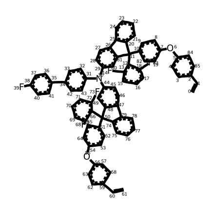 C=Cc1ccc(Oc2ccc(C3(c4c(F)cccc4F)c4ccccc4-c4ccc(N(c5ccc(-c6ccc(F)cc6)cc5)c5ccc6c(c5)C(c5ccc(Oc7ccc(C=C)cc7)cc5)(c5c(F)cccc5F)c5ccccc5-6)cc43)cc2)cc1